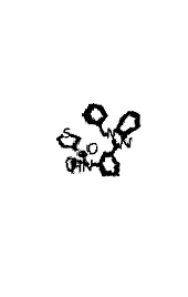 O=S(=O)(Nc1cccc(-c2nc3ccccc3n2Cc2ccccc2)c1)C1CCSC1